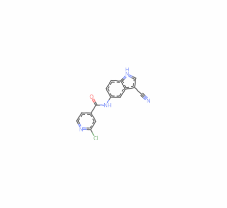 N#Cc1c[nH]c2ccc(NC(=O)c3ccnc(Cl)c3)cc12